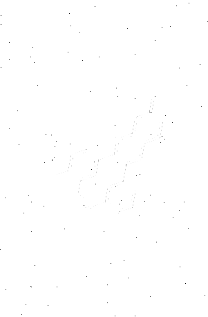 CNc1cc(-c2cc3ccc(=O)[nH]c3nc2-c2ccc(C(F)(F)F)c(C#N)c2)cc(C)n1